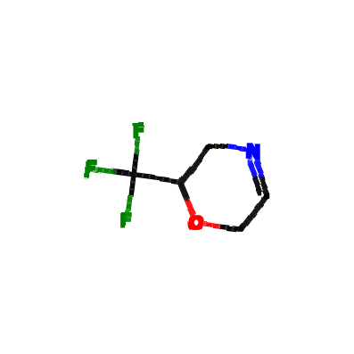 FC(F)(F)C1CN=CCO1